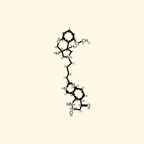 COc1cccc2c1[C@@H]1CN(CCCCc3ncc4c5c(ccc4n3)C(=O)C[N+](=O)N5)C[C@@H]1CO2